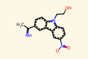 CC(=N)c1ccc2c(c1)c1cc([N+](=O)[O-])ccc1n2CCO